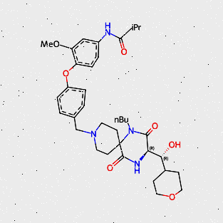 CCCCN1C(=O)[C@@H]([C@H](O)C2CCOCC2)NC(=O)C12CCN(Cc1ccc(Oc3ccc(NC(=O)C(C)C)cc3OC)cc1)CC2